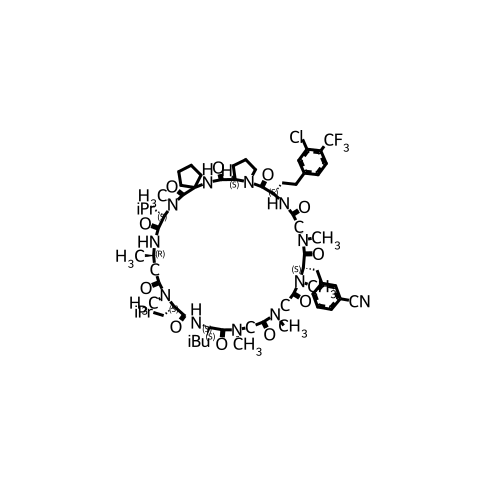 CC[C@H](C)[C@@H]1NC(=O)[C@H](CC(C)C)N(C)C(=O)C[C@@H](C)NC(=O)[C@H](C(C)C)N(C)C(=O)C2(CCCC2)NC(=O)[C@@H]2CCCN2C(=O)[C@H](CCc2ccc(C(F)(F)F)c(Cl)c2)NC(=O)CN(C)C(=O)[C@H](Cc2cccc(C#N)c2)N(C)C(=O)CN(C)C(=O)CN(C)C1=O